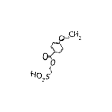 C=COc1ccc(C(=O)OCCS(=O)(=O)O)cc1